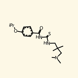 CC(C)Oc1ccc(C(=O)NC(=S)NCC(C)(C)CN(C)C)cc1